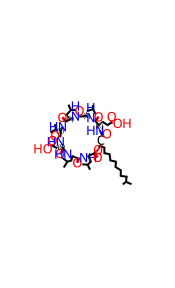 CC(C)CCCCCCCCCC1CC(=O)N[C@H](CCC(=O)O)C(=O)N[C@@H](CC(C)C)C(=O)N[C@H](CC(C)C)C(=O)N[C@@H](C(C)C)C(=O)N[C@@H](CC(=O)O)C(=O)NC(CC(C)C)C(=O)NC(CC(C)C)C(=O)O1